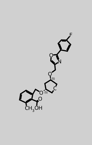 Cc1cccc(CO[C@H]2CCC[C@H](OCc3coc(-c4ccc(F)cc4)n3)C2)c1C(=O)O